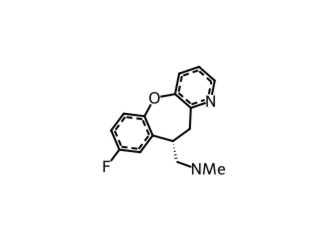 CNC[C@H]1Cc2ncccc2Oc2ccc(F)cc21